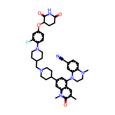 Cc1cc2c(N3CCN(C)c4ccc(C#N)cc43)cc(C3CCN(CC4CCN(c5ccc(OC6CCC(=O)NC6=O)cc5F)CC4)CC3)cc2n(C)c1=O